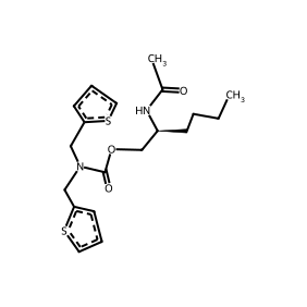 CCCC[C@@H](COC(=O)N(Cc1cccs1)Cc1cccs1)NC(C)=O